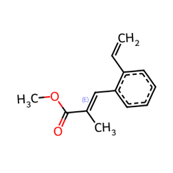 C=Cc1ccccc1/C=C(\C)C(=O)OC